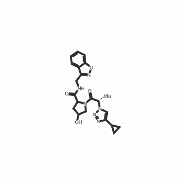 CC(C)(C)[C@@H](C(=O)N1CC(O)CC1C(=O)NCc1noc2ccccc12)n1cc(C2CC2)nn1